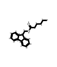 CCCCCC(=O)OCC1c2ccccc2-c2ccccc21